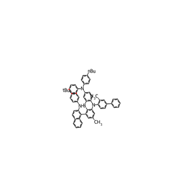 CCCCc1ccc(N(c2ccccc2)c2ccc3c(c2)B2c4c(cc(C)cc4N3c3ccc(-c4ccccc4)cc3C)-c3c(ccc4ccccc34)N2c2ccc(C(C)(C)C)cc2)cc1